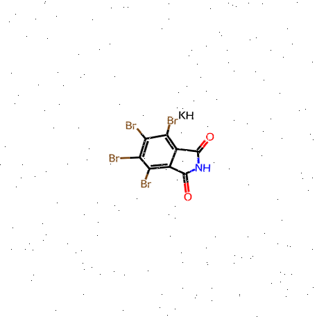 O=C1NC(=O)c2c(Br)c(Br)c(Br)c(Br)c21.[KH]